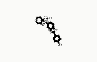 CCc1ccc(-c2nc3ccc(S(=O)(=O)C4(C(=O)O)CCOCC4)cc3s2)cc1